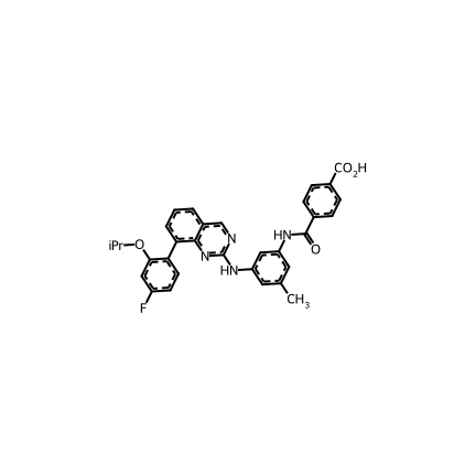 Cc1cc(NC(=O)c2ccc(C(=O)O)cc2)cc(Nc2ncc3cccc(-c4ccc(F)cc4OC(C)C)c3n2)c1